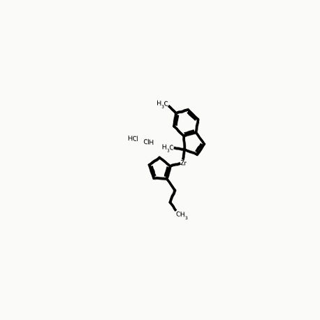 CCCC1=[C]([Zr][C]2(C)C=Cc3ccc(C)cc32)CC=C1.Cl.Cl